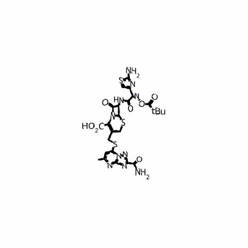 Cc1cc(SCC2=C(C(=O)O)N3C(=O)C(NC(=O)/C(=N\OC(=O)C(C)(C)C)c4csc(N)n4)C3SC2)n2nc(C(N)=O)nc2n1